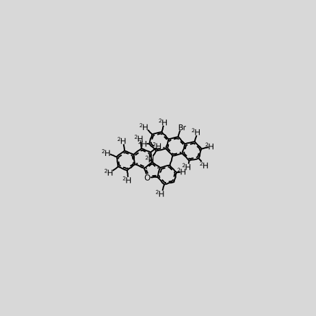 [2H]c1cc([2H])c2oc3c4c([2H])c([2H])c([2H])c([2H])c4c([2H])c([2H])c3c2c1-c1c2c([2H])c([2H])c([2H])c([2H])c2c(Br)c2c([2H])c([2H])c([2H])c([2H])c12